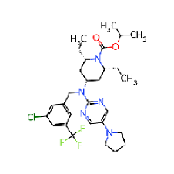 CC[C@@H]1C[C@H](N(Cc2cc(Cl)cc(C(F)(F)F)c2)c2ncc(N3CCCC3)cn2)C[C@H](CC)N1C(=O)OC(C)C